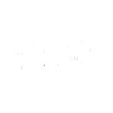 O=C(O)C(Cc1cc(I)c(Oc2cc(I)c(O)c(I)c2)c(I)c1)Nc1ccccc1